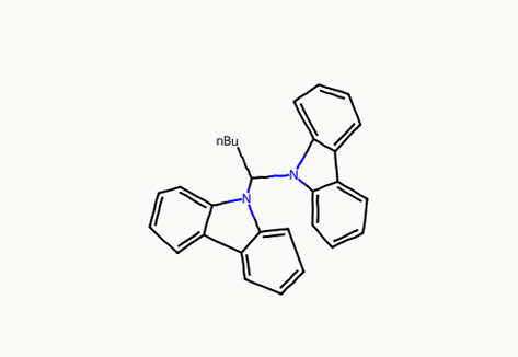 CCCCC(n1c2ccccc2c2ccccc21)n1c2ccccc2c2ccccc21